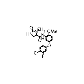 COc1ccc(Oc2ccc(Cl)c(F)c2)cc1NC(=O)C1CNC(=O)N1C